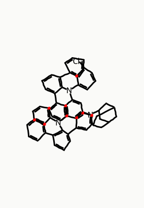 Clc1cccc(N(c2cc(N(c3ccccc3)c3c(-c4ccccc4)cccc3-c3ccccc3)cc(N3C4CC5CC(C4)CC3C5)c2)c2c(-c3ccccc3)cccc2-c2ccccc2)c1